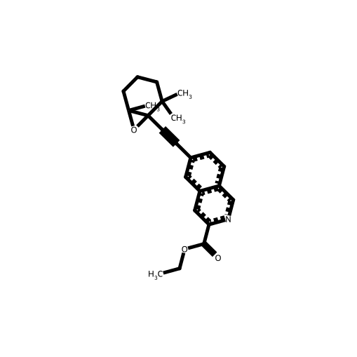 CCOC(=O)c1cc2cc(C#CC34OC3(C)CCCC4(C)C)ccc2cn1